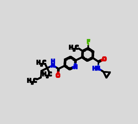 CCCC(C)(C)NC(=O)c1ccc(-c2cc(C(=O)NC3CC3)cc(F)c2C)nc1